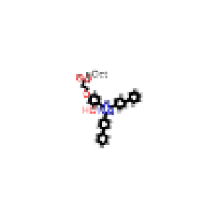 CCCCCCCCOC(=O)CCOc1ccc(-c2nc(-c3ccc(-c4ccccc4)cc3)nc(-c3ccc(-c4ccccc4)cc3)n2)c(O)c1